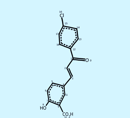 O=C(/C=C/c1ccc(O)c(C(=O)O)c1)c1ccc(Cl)cc1